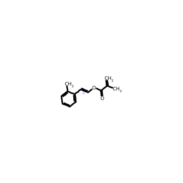 C=C(C)C(=O)O/C=C/c1ccccc1C